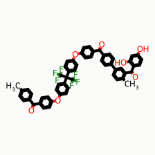 Cc1ccc(C(=O)c2ccc(Oc3ccc(C(c4ccc(Oc5ccc(C(=O)c6ccc(-c7ccc(C)c(C(=O)c8ccc(O)cc8O)c7)cc6)cc5)cc4)(C(F)(F)F)C(F)(F)F)cc3)cc2)cc1